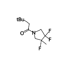 CC(C)(C)CC(=O)N1CC(C)(F)C(F)(F)C1